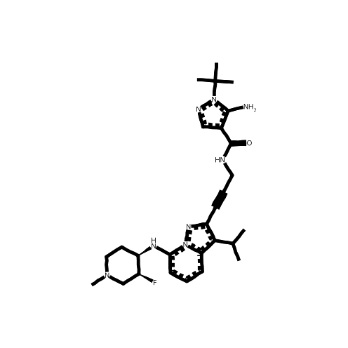 CC(C)c1c(C#CCNC(=O)c2cnn(C(C)(C)C)c2N)nn2c(N[C@@H]3CCN(C)C[C@@H]3F)cccc12